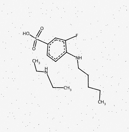 CCCCCNc1ccc(S(=O)(=O)O)cc1F.CCNCC